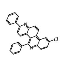 Clc1ccc2nc(-c3ccccc3)c3c4ccc(-c5ccccc5)nc4ccc3c2c1